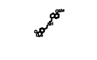 COc1cccc2c1CCCC2CCNCCc1ccc2c(c1)SCOC2=O